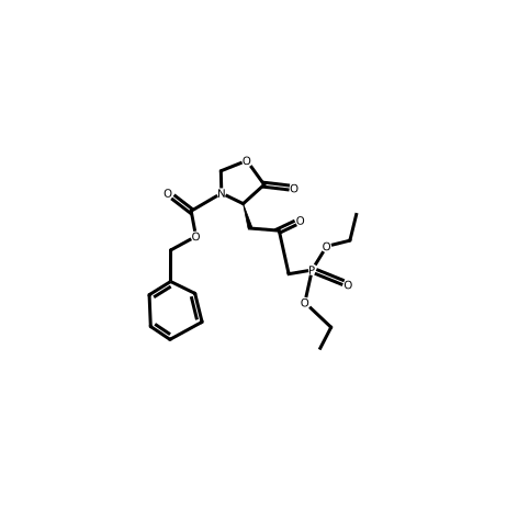 CCOP(=O)(CC(=O)C[C@@H]1C(=O)OCN1C(=O)OCc1ccccc1)OCC